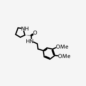 COc1ccc(CCNC(=O)[C@@H]2CCCN2)cc1OC